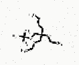 CCNC(COCC)(COCC)COC(C)(C)C